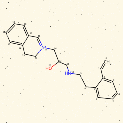 C=Cc1ccccc1CCNCC(O)C[N+]1=Cc2ccccc2CC1